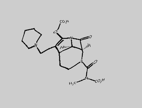 CN(C(=O)O)C(=O)N1CCC2C(CN3CCCCC3)=C(OC(=O)O)N3C(=O)[C@@H]1[C@@H]23